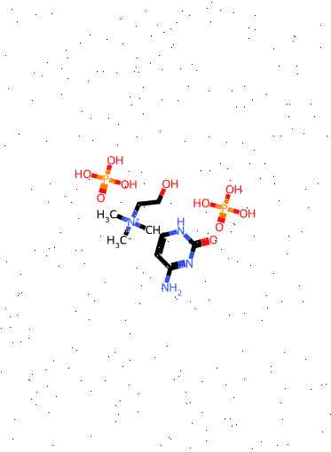 C[N+](C)(C)CCO.Nc1cc[nH]c(=O)n1.O=P(O)(O)O.O=P(O)(O)O